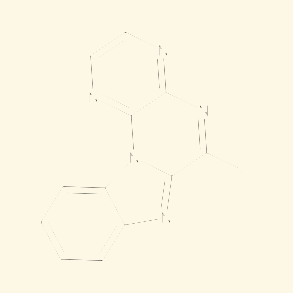 Clc1nc2nccnc2n2c1nc1ccccc12